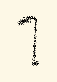 O=C(CCOCCOCCOCCOCCOCCOCCOCCOCCOCCOCCOCCOCCn1cc(-c2cccc(NC(=O)N3CCC4(CC3)NC(=O)N(c3cccc(S(=O)(=O)O)c3)C4=O)c2)nn1)ON1C(=O)CCC1=O